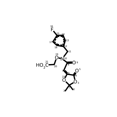 CC1(C)OC(=O)C(=CC(=O)N(Cc2ccc(F)cc2)OCC(=O)O)O1